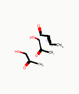 C/C=C/C=O.CC(=O)CO.CC(=O)CO